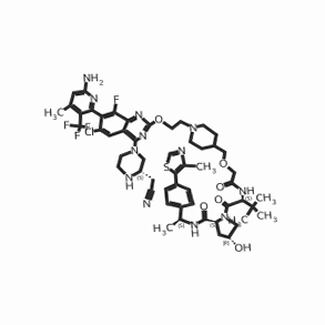 Cc1cc(N)nc(-c2c(Cl)cc3c(N4CCN[C@@H](CC#N)C4)nc(OCCN4CCC(COCC(=O)N[C@H](C(=O)N5C[C@H](O)C[C@H]5C(=O)N[C@@H](C)c5ccc(-c6scnc6C)cc5)C(C)(C)C)CC4)nc3c2F)c1C(F)(F)F